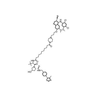 COc1cc(Nc2c(C#N)cnc3cc(OCCCN4CCN(C(=O)CCCCCCCCCC(=O)NC(C(=O)N5C[C@H](O)C[C@H]5C(=O)NCc5ccc(-c6scnc6C)cc5)C(C)(C)C)CC4)c(OC)cc23)c(Cl)cc1Cl